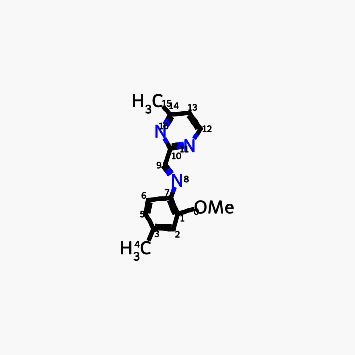 COc1cc(C)ccc1N=Cc1nccc(C)n1